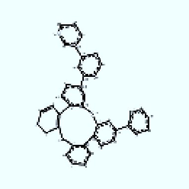 C1=CC2=C(CC1)Sc1ccccc1-c1ccc(-c3ccccn3)cc1Sc1cc(-c3cccc(-c4cccnc4)c3)ccc12